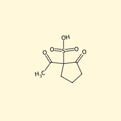 CC(=O)C1(S(=O)(=O)O)CCCC1=O